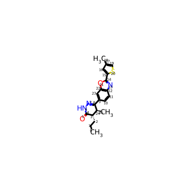 CCC[C@@H]1C(=O)NN=C(c2ccc3nc(-c4cc(C)cs4)oc3c2)[C@H]1C